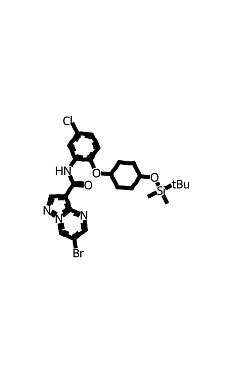 CC(C)(C)[Si](C)(C)OC1CCC(Oc2ccc(Cl)cc2NC(=O)c2cnn3cc(Br)cnc23)CC1